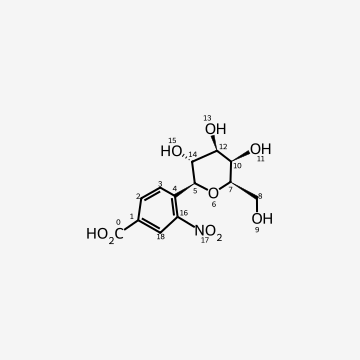 O=C(O)c1ccc([C@@H]2O[C@H](CO)[C@H](O)[C@H](O)[C@H]2O)c([N+](=O)[O-])c1